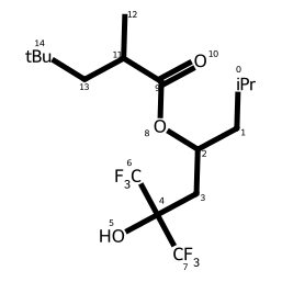 CC(C)CC(CC(O)(C(F)(F)F)C(F)(F)F)OC(=O)C(C)CC(C)(C)C